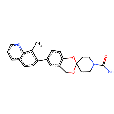 Cc1c(-c2ccc3c(c2)COC2(CCN(C(N)=O)CC2)O3)ccc2cccnc12